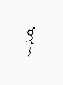 COC(Cc1cccc(C(F)(F)F)c1)C(=O)NC/C=C/CN